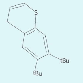 CC(C)(C)c1cc2c(cc1C(C)(C)C)SC=CC2